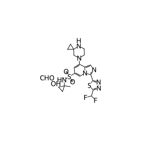 CC1(NS(=O)(=O)c2cc(N3CCNC4(CC4)C3)c3cnc(-c4nnc(C(F)F)s4)n3c2)CC1.O=CO